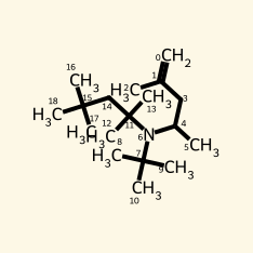 C=C(C)CC(C)N(C(C)(C)C)C(C)(C)CC(C)(C)C